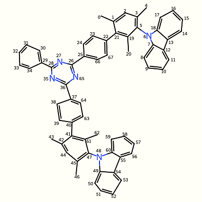 Cc1cc(C)c(-n2c3ccccc3c3ccccc32)c(C)c1-c1ccc(-c2nc(-c3ccccc3)nc(-c3ccc(-c4c(C)cc(C)c(-n5c6ccccc6c6ccccc65)c4C)cc3)n2)cc1